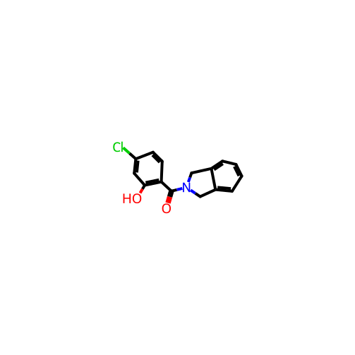 O=C(c1ccc(Cl)cc1O)N1Cc2ccccc2C1